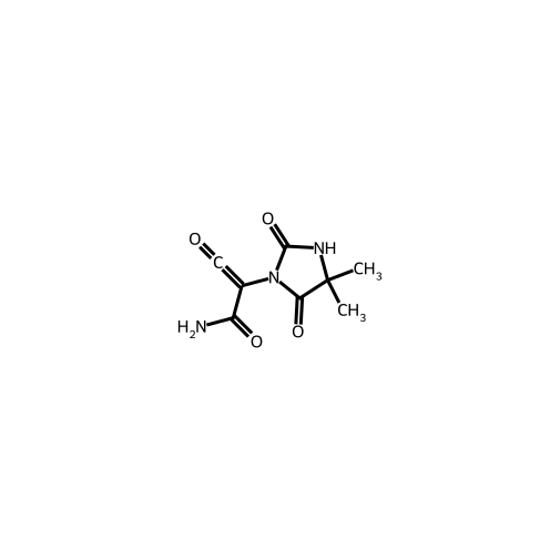 CC1(C)NC(=O)N(C(=C=O)C(N)=O)C1=O